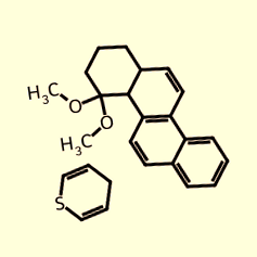 C1=CSC=CC1.COC1(OC)CCCC2C=Cc3c(ccc4ccccc34)C21